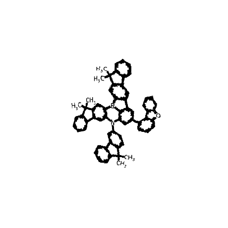 CC1(C)c2ccccc2-c2cc(N3c4cc5c(cc4B4c6cc7c(cc6-c6cc(-c8cccc9oc%10ccccc%10c89)cc3c64)-c3ccccc3C7(C)C)C(C)(C)c3ccccc3-5)ccc21